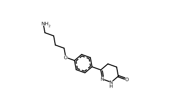 NCCCCOc1ccc(C2=NNC(=O)CC2)cc1